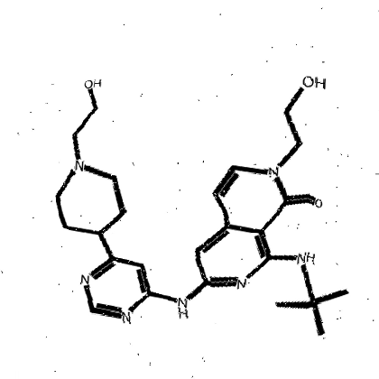 CC(C)(C)Nc1nc(Nc2cc(C3CCN(CCO)CC3)ncn2)cc2ccn(CCO)c(=O)c12